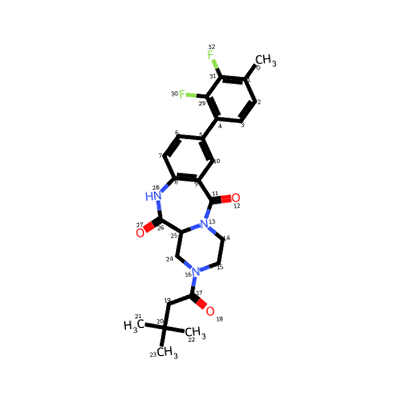 Cc1ccc(-c2ccc3c(c2)C(=O)N2CCN(C(=O)CC(C)(C)C)CC2C(=O)N3)c(F)c1F